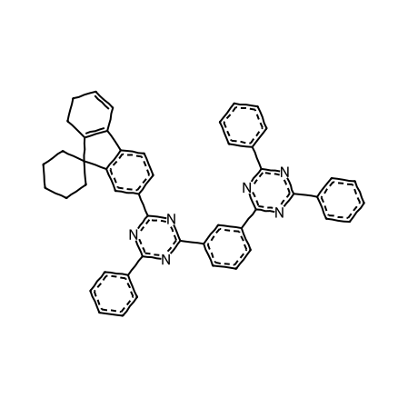 C1=CC2=C(CC1)C1(CCCCC1)c1cc(-c3nc(-c4ccccc4)nc(-c4cccc(-c5nc(-c6ccccc6)nc(-c6ccccc6)n5)c4)n3)ccc12